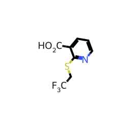 O=C(O)c1cccnc1SCC(F)(F)F